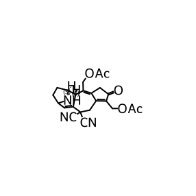 CC(=O)OCC1=C2CC(C#N)(C#N)C3=CC4CC[C@H](N4)[C@@H]3C(COC(C)=O)=C2CC1=O